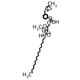 CCCCCCCCCCCCCCCCCCNC(=O)OCC(COP(O)Oc1cccc(CN2C=C(C)SC2)c1)OC(C)C